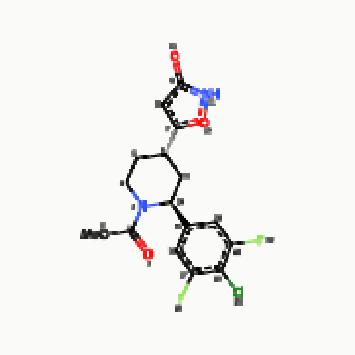 COC(=O)N1CC[C@H](c2cc(=O)[nH]o2)C[C@H]1c1cc(F)c(Cl)c(F)c1